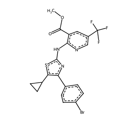 COC(=O)c1cc(C(F)(F)F)cnc1Nc1nc(-c2ccc(Br)cc2)c(C2CC2)s1